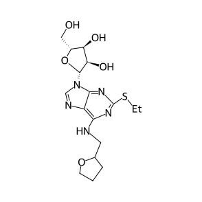 CCSc1nc(NCC2CCCO2)c2ncn([C@@H]3O[C@H](CO)[C@@H](O)[C@H]3O)c2n1